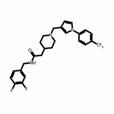 O=C(CC1CCN(Cc2ccn(-c3ccc(C(F)(F)F)cc3)c2)CC1)NCc1ccc(F)c(F)c1